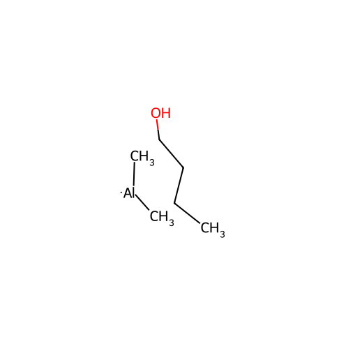 CCCCO.[CH3][Al][CH3]